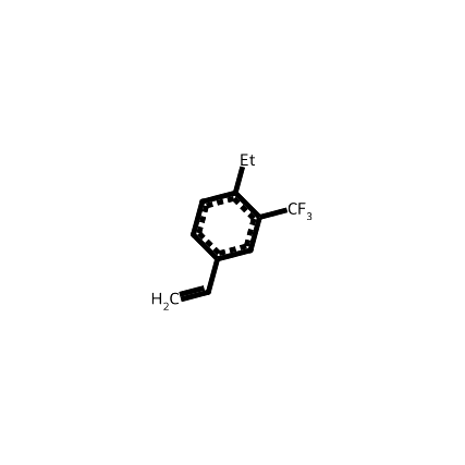 C=Cc1ccc(CC)c(C(F)(F)F)c1